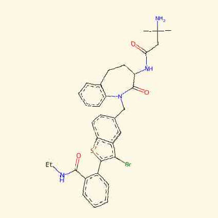 CCNC(=O)c1ccccc1-c1sc2ccc(CN3C(=O)C(NC(=O)CC(C)(C)N)CCc4ccccc43)cc2c1Br